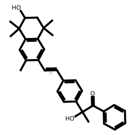 Cc1cc2c(cc1/C=C/c1ccc(C(C)(O)C(=O)c3ccccc3)cc1)C(C)(C)CC(O)C2(C)C